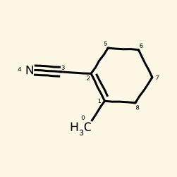 CC1=C(C#N)CCCC1